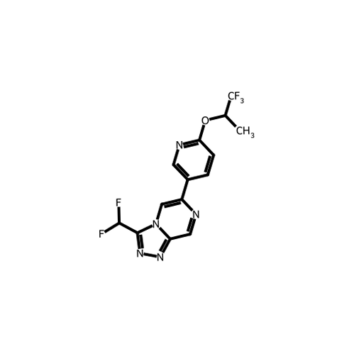 CC(Oc1ccc(-c2cn3c(C(F)F)nnc3cn2)cn1)C(F)(F)F